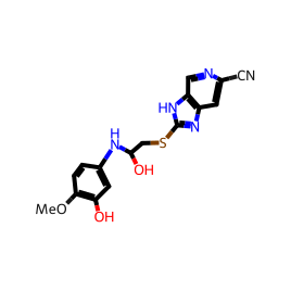 COc1ccc(NC(O)CSc2nc3cc(C#N)ncc3[nH]2)cc1O